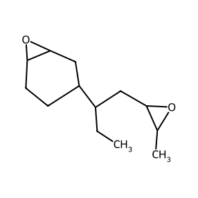 CCC(CC1OC1C)C1CCC2OC2C1